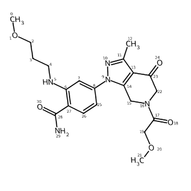 COCCCNc1cc(-n2nc(C)c3c2CN(C(=O)COC)CC3=O)ccc1C(N)=O